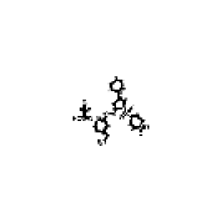 NCc1ccnc(OC[C@@H]2CC(C3CCCCC3)CN2S(=O)(=O)N2CCS(=O)(=O)CC2)c1.O=C(O)C(F)(F)F